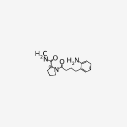 C=NC(=O)[C@@H]1CCCN1C(=O)CCCc1ccccc1N